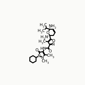 Cc1c(C(=O)Nc2c(C)n(C)n(C3CCCCC3)c2=O)noc1[C@]1(N)CC=C[C@](N)(C(C)C)O1